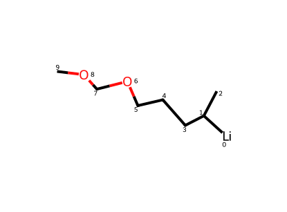 [Li][CH](C)CCCOCOC